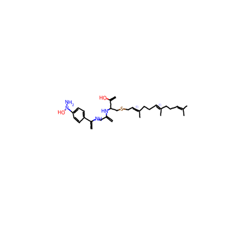 C=C(CNC(=C)c1ccc(N(N)O)cc1)NC(CSC/C=C(\C)CC/C=C(\C)CCC=C(C)C)C(=C)O